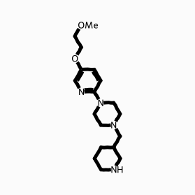 COCCOc1ccc(N2CCN(CC3CCCNC3)CC2)nc1